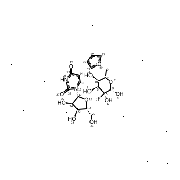 CC1O[C@H](O)[C@@](O)(F)[C@@H](O)[C@H]1O.O=c1ccn([C@@H]2O[C@H](CO)[C@@H](O)[C@H]2O)c(=O)[nH]1.c1ccoc1